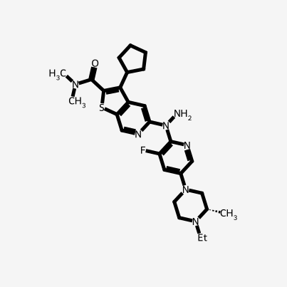 CCN1CCN(c2cnc(N(N)c3cc4c(C5CCCC5)c(C(=O)N(C)C)sc4cn3)c(F)c2)C[C@@H]1C